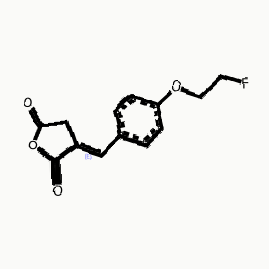 O=C1C/C(=C\c2ccc(OCCF)cc2)C(=O)O1